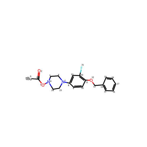 CC(C)(C)C(=O)ON1CCN(c2ccc(OCc3ccccc3)c(F)c2)CC1